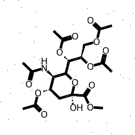 COC(=O)[C@@]1(O)C[C@H](OC(C)=O)[C@@H](NC(C)=O)C([C@H](OC(C)=O)[C@@H](COC(C)=O)OC(C)=O)O1